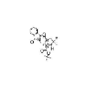 CC(C)(C)OC(=O)N1[C@@H](CN2C(=O)c3ccccc3C2=O)[C@H]2C[C@@H]1C(F)(F)C2